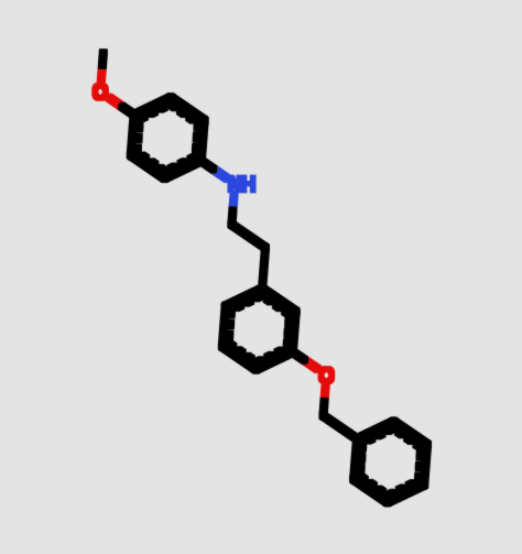 COc1ccc(NCCc2cccc(OCc3ccccc3)c2)cc1